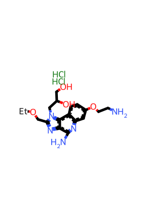 CCOCc1nc2c(N)nc3cc(OCCN)ccc3c2n1CC(O)CO.Cl.Cl